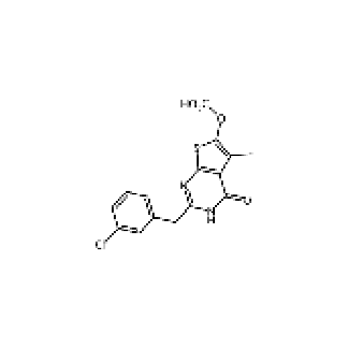 Cc1c(OC(=O)O)sc2nc(Cc3cccc(Cl)c3)[nH]c(=O)c12